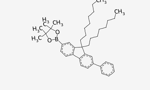 CCCCCCCCC1(CCCCCCCC)c2cc(B3OC(C)(C)C(C)(C)O3)ccc2-c2ccc(-c3ccccc3)cc21